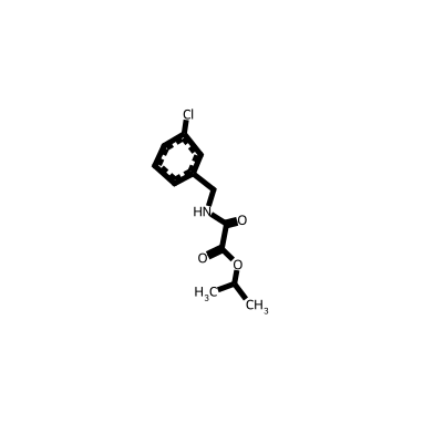 CC(C)OC(=O)C(=O)NCc1cccc(Cl)c1